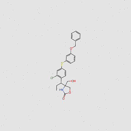 CCC(c1ccc(Sc2cccc(OCc3ccccc3)c2)cc1Cl)C1(CO)COC(=O)N1